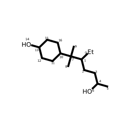 CCC(CCC(C)O)C(C)(C)C1CCC(O)CC1